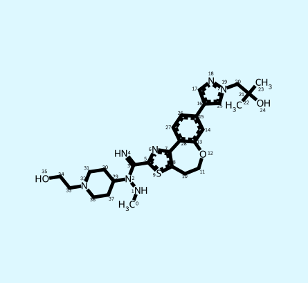 CNN(C(=N)c1nc2c(s1)CCOc1cc(-c3cnn(CC(C)(C)O)c3)ccc1-2)C1CCN(CCO)CC1